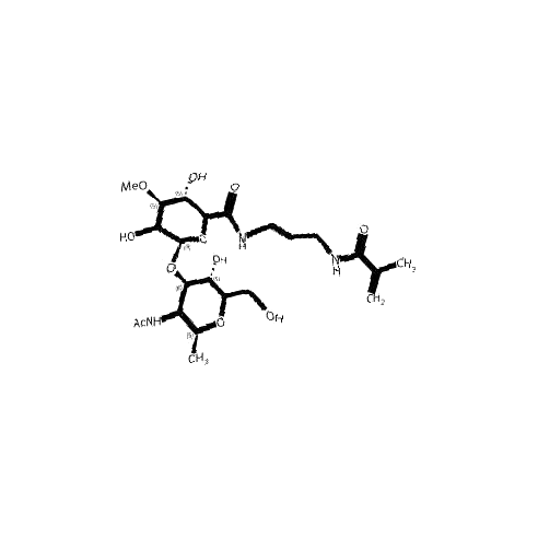 C=C(C)C(=O)NCCCNC(=O)C1O[C@@H](O[C@@H]2C(NC(C)=O)[C@H](C)OC(CO)[C@H]2O)C(O)[C@@H](OC)[C@@H]1O